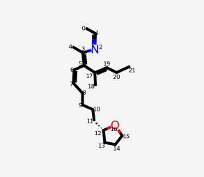 C\C=N/C(C)=C(/C=C\CCCC[C@H]1CCCO1)C(\C)=C\CC